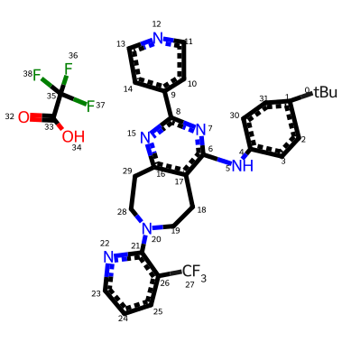 CC(C)(C)c1ccc(Nc2nc(-c3ccncc3)nc3c2CCN(c2ncccc2C(F)(F)F)CC3)cc1.O=C(O)C(F)(F)F